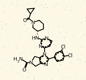 NC(=O)N1Cc2nc(-c3ccc(Cl)c(Cl)c3)n(-c3ccnc(N[C@H]4CCCN(C(=O)C5CC5)C4)n3)c2C1